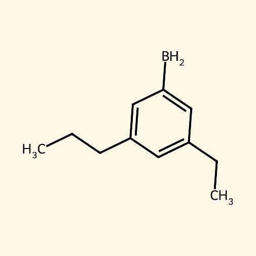 Bc1cc(CC)cc(CCC)c1